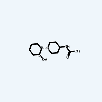 O=C(O)NC1CCN([C@H]2CCCC[C@@H]2O)CC1